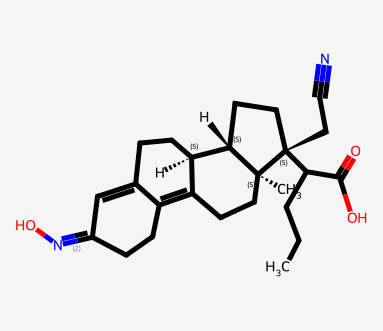 CCCC(C(=O)O)[C@@]1(CC#N)CC[C@H]2[C@@H]3CCC4=C/C(=N\O)CCC4=C3CC[C@@]21C